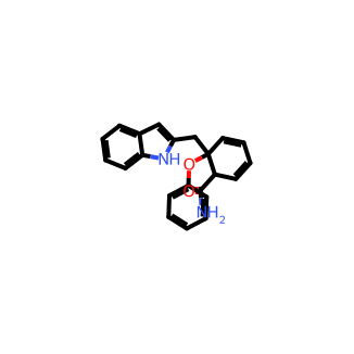 NC(=O)C1C=CC=CC1(Cc1cc2ccccc2[nH]1)Oc1ccccc1